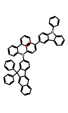 c1ccc(-c2ccccc2N(c2ccc(-c3ccc4c(c3)c3ccccc3n4-c3ccccc3)cc2)c2ccc3c(c2)C(c2ccccc2)(c2ccccc2)c2cc4ccccc4cc2-3)cc1